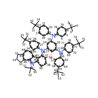 CC(C)(C)c1ccc(N(c2ccc(C(C)(C)C)cc2)c2cc3c4c(c2)N(c2ccc(C(C)(C)C)cc2)c2c(ccc5c2c2ccc6c(c2n5C(C)(C)C)CCC6)B4c2cc(C(C)(C)C)ccc2N3c2ccc(C(C)(C)C)cc2)cc1